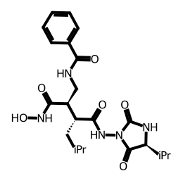 CC(C)C[C@@H](C(=O)NN1C(=O)N[C@@H](C(C)C)C1=O)[C@H](CNC(=O)c1ccccc1)C(=O)NO